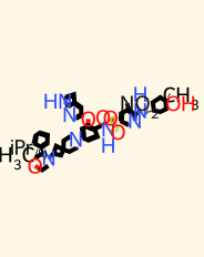 CC(C)c1ccccc1[C@@H]1C(C)OCCN1C1CC2(CCN(c3ccc(C(=O)NS(=O)(=O)c4cnc(NC[C@H]5CC[C@](C)(O)CC5)c([N+](=O)[O-])c4)c(Oc4cnc5[nH]ccc5c4)c3)CC2)C1